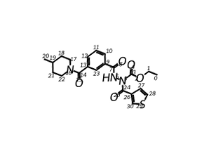 CCOC(=O)N(NC(=O)c1cccc(C(=O)N2CCC(C)CC2)c1)C(=O)c1ccsc1